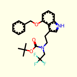 CC(C)(C)OC(=O)N(CCc1c[nH]c2cccc(OCc3ccccc3)c12)CC(F)(F)F